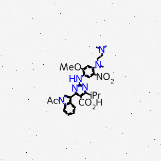 COc1cc(N(C)CCN(C)C)c([N+](=O)[O-])cc1Nc1nc(-c2cn(C(C)=O)c3ccccc23)c(C(=O)O)c(C(C)C)n1